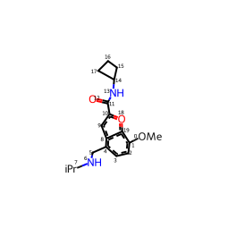 COc1ccc(CNC(C)C)c2cc(C(=O)NC3CCC3)oc12